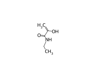 C=C(O)C(=O)NCC